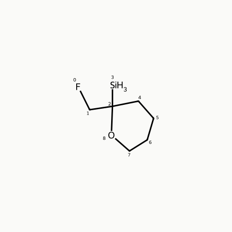 FCC1([SiH3])CCCCO1